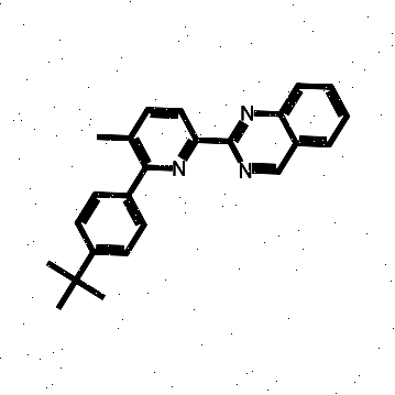 Cc1ccc(-c2ncc3ccccc3n2)nc1-c1ccc(C(C)(C)C)cc1